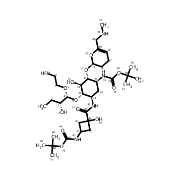 CC[C@@H](O)[C@H](OCCO)O[C@@H]1[C@@H](O)[C@H](O[C@@H]2CCC=C(CNC)O2)[C@@H](NC(=O)OC(C)(C)C)C[C@H]1NC(=O)C1(O)CC(NC(=O)OC(C)(C)C)C1